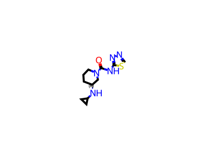 O=C(Nc1nncs1)N1CCC[C@@H](NC2CC2)C1